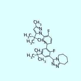 Cc1cc(C(C)(C)C)n(-c2cc(-c3cc(C(C)(C)C)cc(-c4nnc5n4CCCCC5)c3F)ccc2F)n1